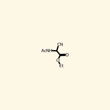 CCOC(=O)C(C#N)NC(C)=O